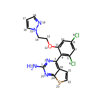 Nc1nc(-c2c(Cl)cc(Cl)cc2OCCn2cccn2)c2ccsc2n1